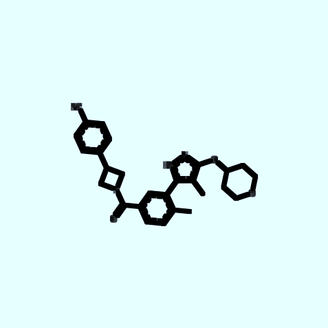 Cc1ccc(C(=O)N2CC(c3ccc(C#N)cc3)C2)cc1-c1[nH]nc(OC2CCOCC2)c1C